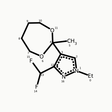 CCn1cc(C2(C)OCCCCO2)c(C(F)F)n1